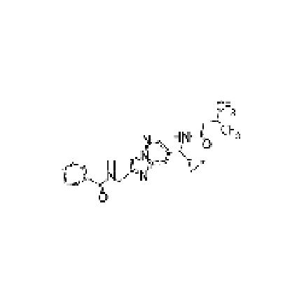 O=C(CC(C(F)(F)F)C(F)(F)F)NC(c1cnn2cc(CNC(=O)c3ccccc3)nc2c1)C1CC1